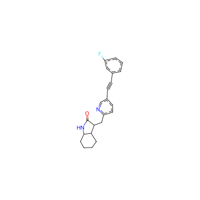 O=C1NC2CCCCC2C1Cc1ccc(C#Cc2cccc(F)c2)cn1